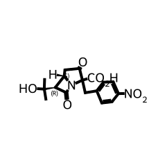 CC(C)(O)[C@@H]1C(=O)N2[C@H]1CC(=O)C2(Cc1ccc([N+](=O)[O-])cc1)C(=O)O